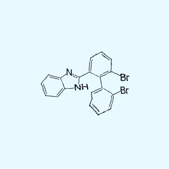 Brc1ccccc1-c1c(Br)cccc1-c1nc2ccccc2[nH]1